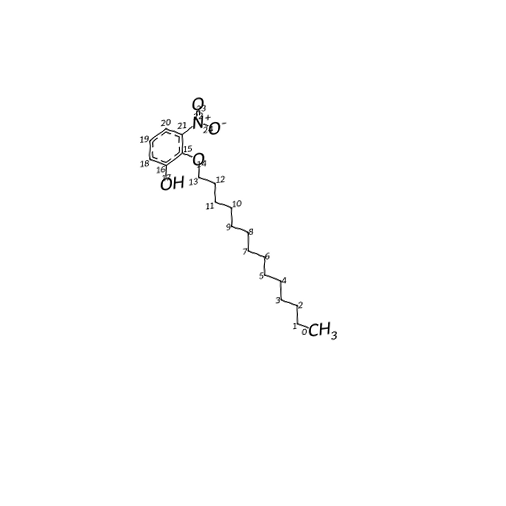 CCCCCCCCCCCCCCOc1c(O)cccc1[N+](=O)[O-]